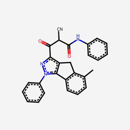 Cc1cccc2c1Cc1c(C(=O)C(C#N)C(=O)Nc3ccccc3)nn(-c3ccccc3)c1-2